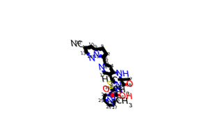 CC1(Nc2cc(-c3ccc4cc(C#N)cnn34)ncc2-c2nnc(N3CC4CC(C3)N4C(=O)C(C)(C)O)s2)COC1